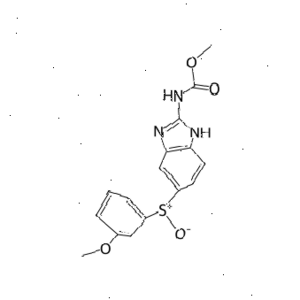 COC(=O)Nc1nc2cc([S+]([O-])c3cccc(OC)c3)ccc2[nH]1